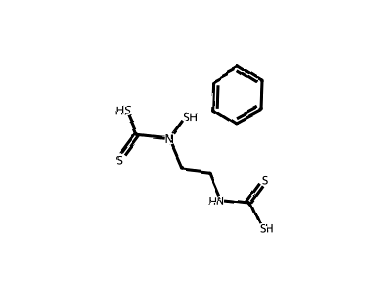 S=C(S)NCCN(S)C(=S)S.c1ccccc1